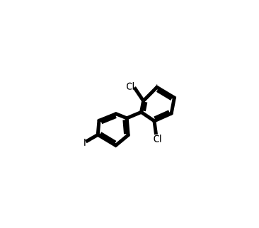 Clc1[c]ccc(Cl)c1-c1ccc(I)cc1